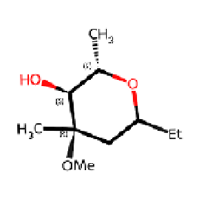 CCC1C[C@@](C)(OC)[C@@H](O)[C@H](C)O1